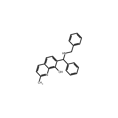 Cc1ccc2ccc(C(NCc3ccccc3)c3ccccc3)c(O)c2n1